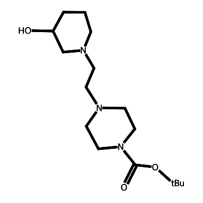 CC(C)(C)OC(=O)N1CCN(CCN2CCCC(O)C2)CC1